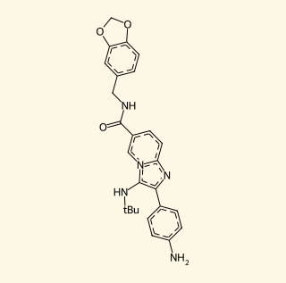 CC(C)(C)Nc1c(-c2ccc(N)cc2)nc2ccc(C(=O)NCc3ccc4c(c3)OCO4)cn12